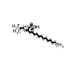 C=C(C)CNC(CCCCCCCCCCCCC)CS(=O)(=O)O